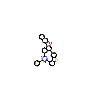 c1ccc(-c2nc(-c3ccccc3)nc(-c3cccc4oc5ccc(-c6ccc7c(c6)oc6cc8ccccc8cc67)cc5c34)n2)cc1